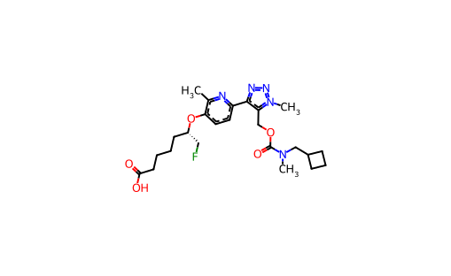 Cc1nc(-c2nnn(C)c2COC(=O)N(C)CC2CCC2)ccc1O[C@H](CF)CCCCC(=O)O